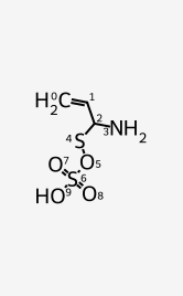 C=CC(N)SOS(=O)(=O)O